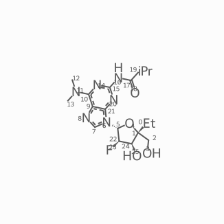 CC[C@]1(CO)O[C@@H](n2cnc3c(N(C)C)nc(NC(=O)C(C)C)nc32)[C@H](F)[C@@H]1O